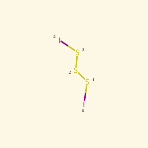 ISSSI